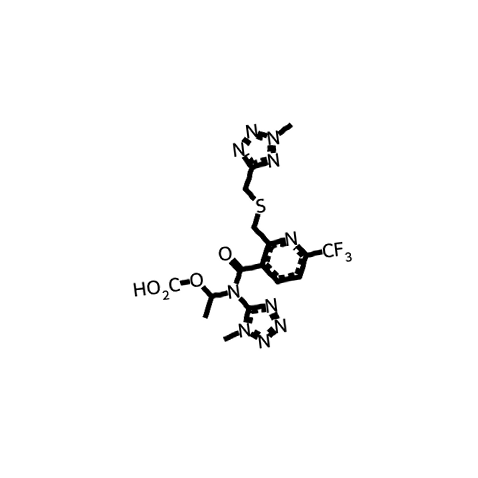 CC(OC(=O)O)N(C(=O)c1ccc(C(F)(F)F)nc1CSCc1nnn(C)n1)c1nnnn1C